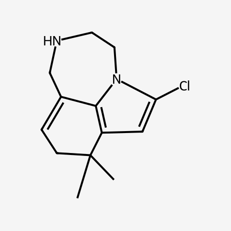 CC1(C)CC=C2CNCCn3c(Cl)cc1c32